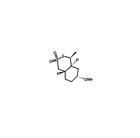 CO[C@@H]1CC[C@@H]2CS(=O)(=O)S[C@@H](C)[C@H]2C1